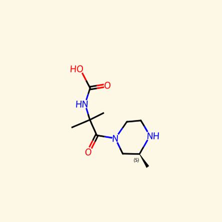 C[C@H]1CN(C(=O)C(C)(C)NC(=O)O)CCN1